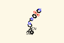 CCC[C@H](CSC)CC(C#N)(c1ccccc1)C1CCN(CC2CN(c3ccc(S(=O)(=O)c4ccncc4)cc3)C2)CC1